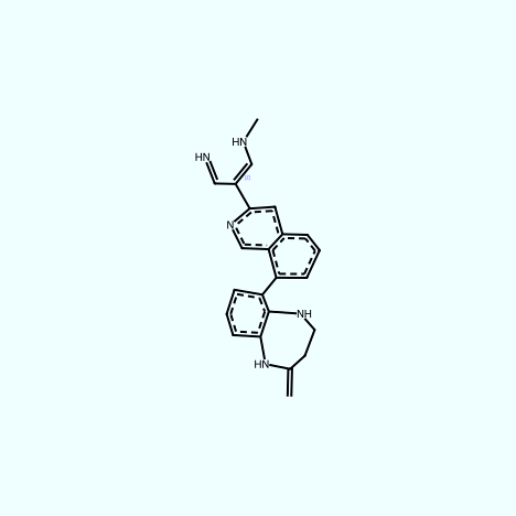 C=C1CCNc2c(cccc2-c2cccc3cc(/C(C=N)=C/NC)ncc23)N1